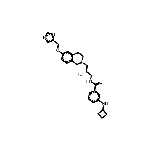 O=C(NC[C@H](O)CN1CCc2cc(OCc3cnco3)ccc2C1)c1cccc(NC2CCC2)c1